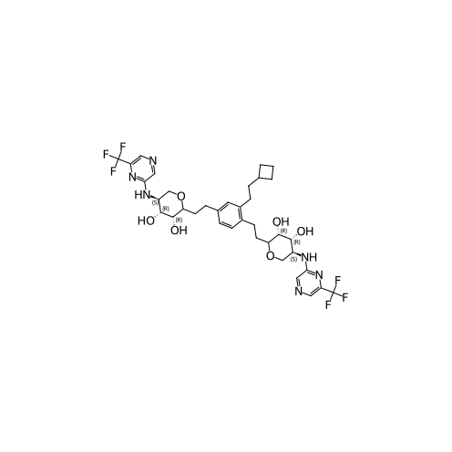 O[C@@H]1[C@@H](Nc2cncc(C(F)(F)F)n2)COC(CCc2ccc(CCC3OC[C@H](Nc4cncc(C(F)(F)F)n4)[C@@H](O)[C@H]3O)c(CCC3CCC3)c2)[C@@H]1O